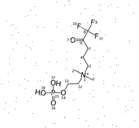 C[N+](C)(CCCC(=O)C(F)(F)F)CCOP(=O)(O)O